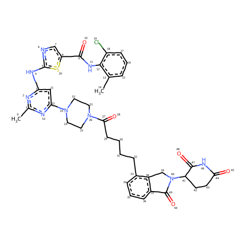 Cc1nc(Nc2ncc(C(=O)Nc3c(C)cccc3Cl)s2)cc(N2CCN(C(=O)CCCCc3cccc4c3CN(C3CCC(=O)NC3=O)C4=O)CC2)n1